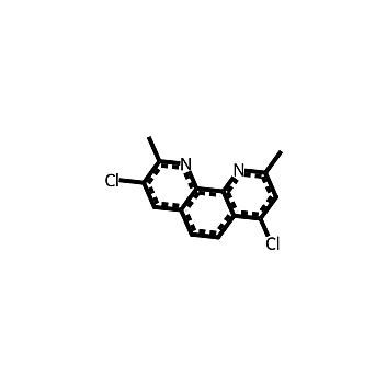 Cc1cc(Cl)c2ccc3cc(Cl)c(C)nc3c2n1